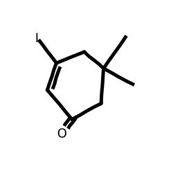 CC1(C)CC(=O)C=C(I)C1